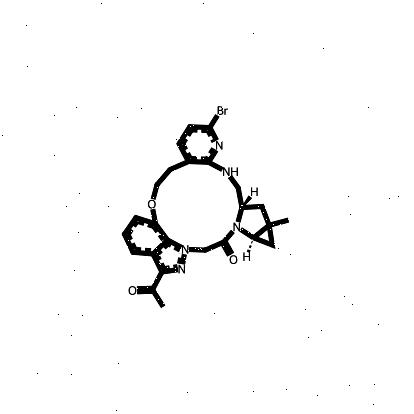 CC(=O)c1nn2c3c(cccc13)OCCc1ccc(Br)nc1NC[C@@H]1CC3(C)C[C@H]3N1C(=O)C2